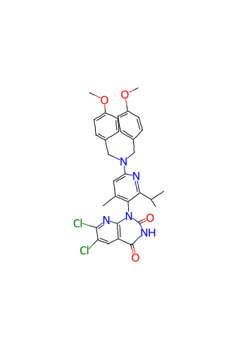 COc1ccc(CN(Cc2ccc(OC)cc2)c2cc(C)c(-n3c(=O)[nH]c(=O)c4cc(Cl)c(Cl)nc43)c(C(C)C)n2)cc1